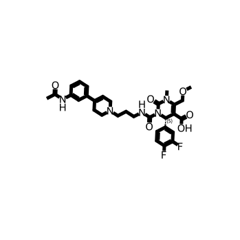 COCC1=C(C(=O)O)[C@H](c2ccc(F)c(F)c2)N(C(=O)NCCCN2CC=C(c3cccc(NC(C)=O)c3)CC2)C(=O)N1C